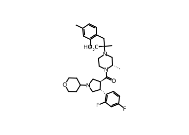 Cc1ccc(C[C@@](C)(C(=O)O)N2CCN(C(=O)[C@@H]3CN(C4CCOCC4)C[C@H]3c3ccc(F)cc3F)[C@@H](C)C2)c(F)c1